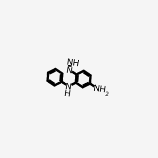 N=Nc1ccc(N)cc1Nc1ccccc1